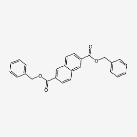 O=C(OCc1ccccc1)c1ccc2cc(C(=O)OCc3ccccc3)ccc2c1